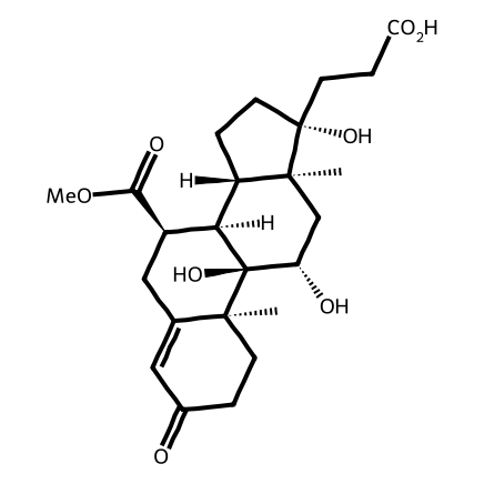 COC(=O)[C@@H]1CC2=CC(=O)CC[C@]2(C)[C@]2(O)[C@@H]1[C@@H]1CC[C@@](O)(CCC(=O)O)[C@@]1(C)C[C@@H]2O